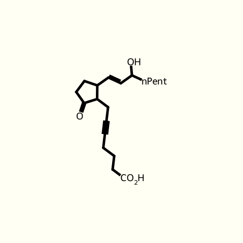 CCCCCC(O)C=CC1CCC(=O)C1CC#CCCCC(=O)O